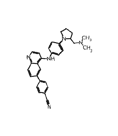 CN(C)CC1CCCN1c1ccc(Nc2ccnc3ccc(-c4ccc(C#N)cc4)cc23)cc1